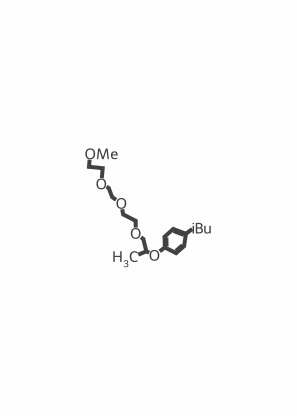 CCC(C)c1ccc(OC(C)COCCOCCOCCOC)cc1